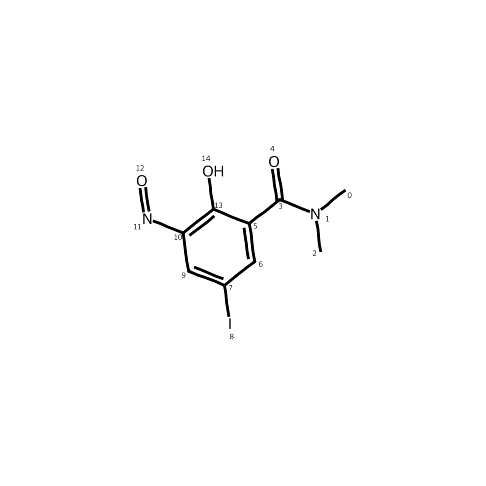 CN(C)C(=O)c1cc(I)cc(N=O)c1O